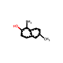 Bc1c(O)ccc2cc(C)ccc12